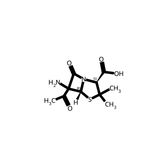 CC(=O)C1(N)C(=O)N2[C@@H](C(=O)O)C(C)(C)S[C@@H]21